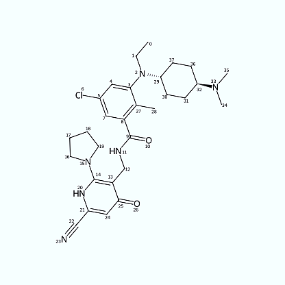 CCN(c1cc(Cl)cc(C(=O)NCc2c(N3CCCC3)[nH]c(C#N)cc2=O)c1C)[C@H]1CC[C@H](N(C)C)CC1